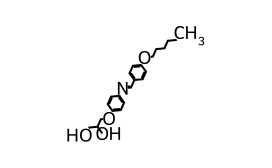 CCCCCCOc1ccc(C=Nc2ccc(OCC(O)CO)cc2)cc1